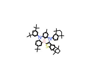 Cc1cc2c3c(c1)N(c1ccc4c(c1)C(C)(C)CCC4(C)C)c1c(sc4cc5c(cc14)C1(C)CCC5(C)C1)B3c1cc(C(C)(C)C)ccc1N2c1cc(C(C)(C)C)cc(C(C)(C)C)c1